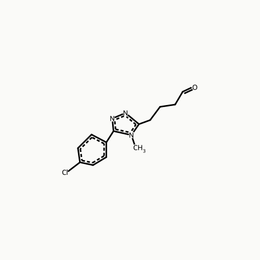 Cn1c(CCCC=O)nnc1-c1ccc(Cl)cc1